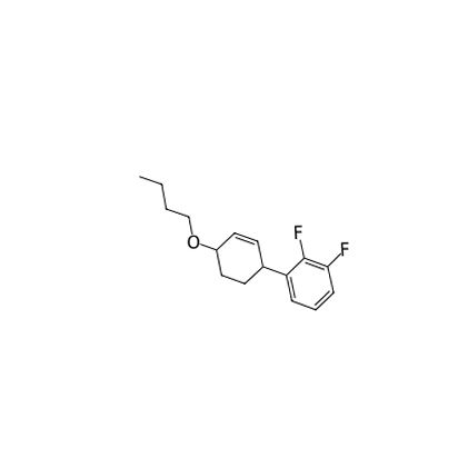 CCCCOC1C=CC(c2cccc(F)c2F)CC1